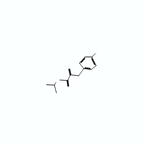 CC(C)OC(=O)C(=O)Cc1ccc(F)cc1